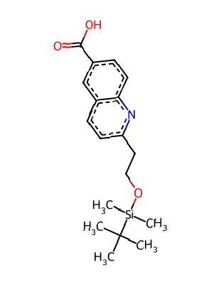 CC(C)(C)[Si](C)(C)OCCc1ccc2cc(C(=O)O)ccc2n1